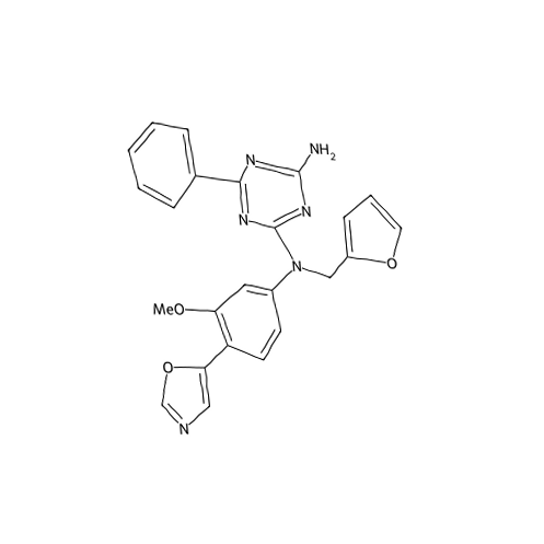 COc1cc(N(Cc2ccco2)c2nc(N)nc(-c3ccccc3)n2)ccc1-c1cnco1